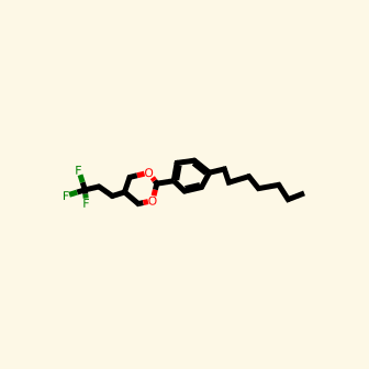 CCCCCCCc1ccc(C2OCC(CCC(F)(F)F)CO2)cc1